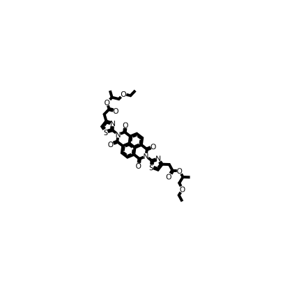 CCOCC(C)OC(=O)Cc1csc(N2C(=O)c3ccc4c5c(ccc(c35)C2=O)C(=O)N(c2nc(CC(=O)OC(C)COCC)cs2)C4=O)n1